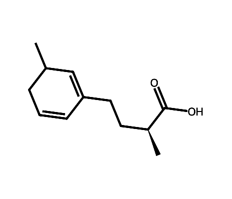 CC1C=C(CC[C@H](C)C(=O)O)C=CC1